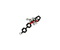 CC(C)(C)OC(=O)NC1CC2CCC(C1)N2C(=O)C(N)C(F)(F)c1ccc(-c2ccc(Cl)cc2)cc1